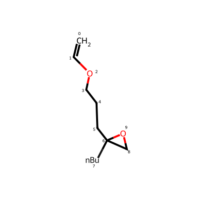 C=COCCCC1(CCCC)CO1